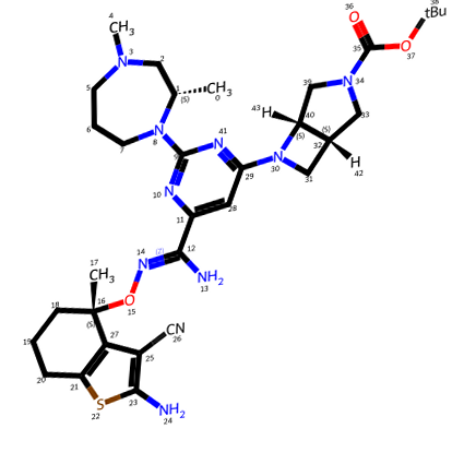 C[C@H]1CN(C)CCCN1c1nc(/C(N)=N/O[C@@]2(C)CCCc3sc(N)c(C#N)c32)cc(N2C[C@H]3CN(C(=O)OC(C)(C)C)C[C@H]32)n1